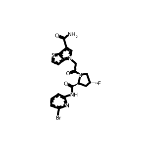 NC(=O)c1cn(CC(=O)N2C[C@H](F)C[C@H]2C(=O)Nc2cccc(Br)n2)c2ccsc12